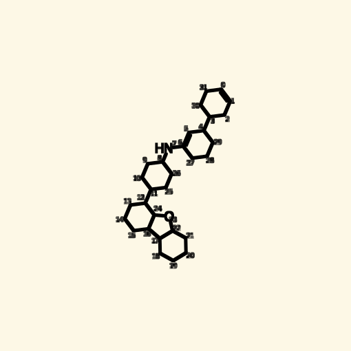 C1=CCC(C2C=C(NC3CCC(C4CCCC5C6CCCCC6OC45)CC3)CCC2)CC1